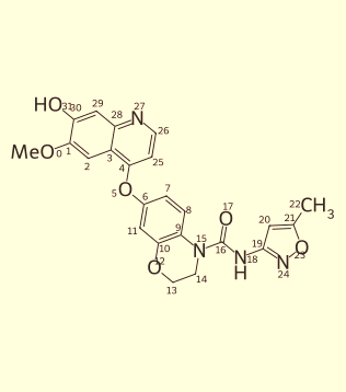 COc1cc2c(Oc3ccc4c(c3)OCCN4C(=O)Nc3cc(C)on3)ccnc2cc1O